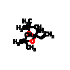 C=CC([SiH3])(O[Si](C)(C)C)O[Si](C)(C)C